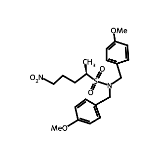 COc1ccc(CN(Cc2ccc(OC)cc2)S(=O)(=O)[C@H](C)CCC[N+](=O)[O-])cc1